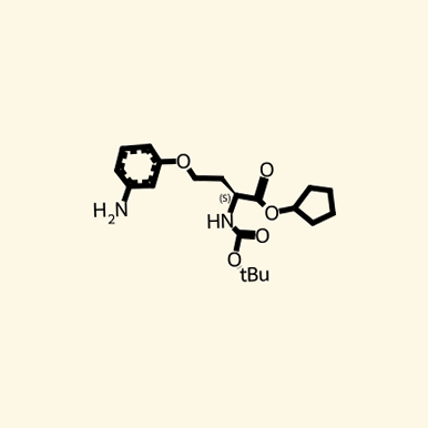 CC(C)(C)OC(=O)N[C@@H](CCOc1cccc(N)c1)C(=O)OC1CCCC1